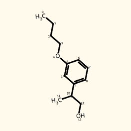 CCCCOc1cccc([C](C)CO)c1